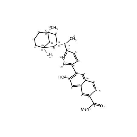 CNC(=O)c1cc2cc(O)c(-c3ccc(N(C)[C@H]4C[C@]5(C)CCC[C@](C)(C4)C5)nn3)cc2cn1